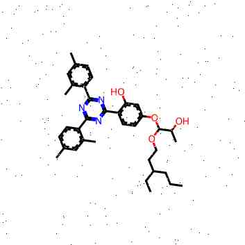 CCCC(CC)CCOC(Oc1ccc(-c2nc(-c3ccc(C)cc3C)nc(-c3ccc(C)cc3C)n2)c(O)c1)C(C)O